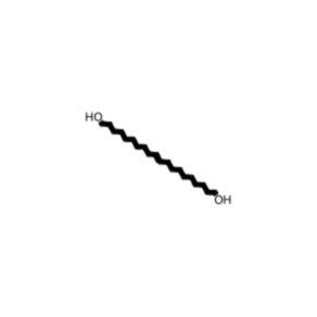 OCCCCCCCCCC=CCCCCCCCCCO